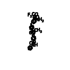 CN(CCN1CCC(OC(=O)Nc2ccccc2)CC1)C(=O)c1ccc(CN2CCC(N)(C(=O)OC(=O)C(F)(F)F)CC2)cc1